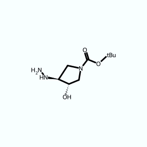 CC(C)(C)OC(=O)N1C[C@H](NN)[C@@H](O)C1